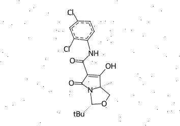 CC(C)(C)[C@H]1OC[C@]2(C)C(O)=C(C(=O)Nc3ccc(Cl)cc3Cl)C(=O)N12